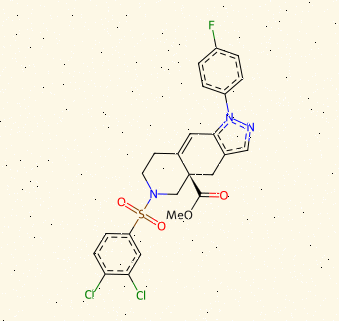 COC(=O)[C@]12Cc3cnn(-c4ccc(F)cc4)c3C=C1CCN(S(=O)(=O)c1ccc(Cl)c(Cl)c1)C2